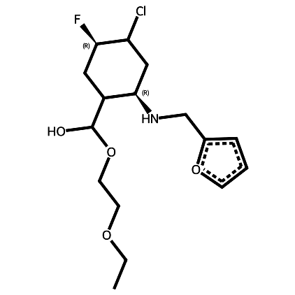 CCOCCOC(O)C1C[C@@H](F)C(Cl)C[C@H]1NCc1ccco1